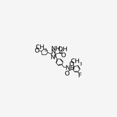 COc1ccc(F)cc1C(=O)NCc1ccc(-c2nc(C3CCC(OC)CC3)n(N)c2C(=O)O)cc1